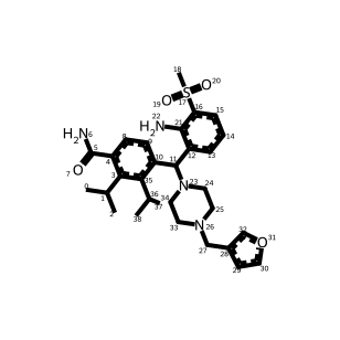 CC(C)c1c(C(N)=O)ccc(C(c2cccc(S(C)(=O)=O)c2N)N2CCN(Cc3ccoc3)CC2)c1C(C)C